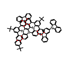 CC(C)(C)c1cccc(-c2ccc3c(c2)N(c2c(-c4ccccc4)cc(C(C)(C)C)cc2-c2ccccc2)c2cc(-n4c5ccccc5c5ccccc54)cc4c2B3c2ccc(-n3c5ccccc5c5cc(-n6c7ccccc7c7ccccc76)ccc53)cc2N4c2c(-c3ccccc3)cc(C(C)(C)C)cc2-c2ccccc2)c1